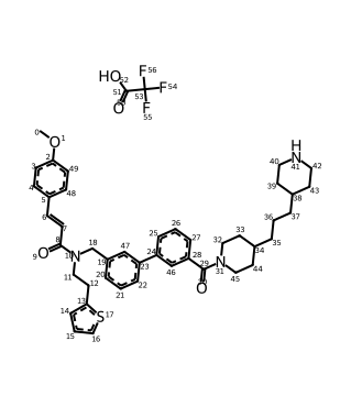 COc1ccc(C=CC(=O)N(CCc2cccs2)Cc2cccc(-c3cccc(C(=O)N4CCC(CCCC5CCNCC5)CC4)c3)c2)cc1.O=C(O)C(F)(F)F